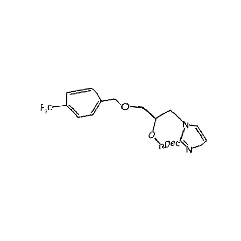 CCCCCCCCCCOC(COCc1ccc(C(F)(F)F)cc1)Cn1ccnc1